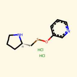 Cl.Cl.c1cncc(OSC[C@@H]2CCCN2)c1